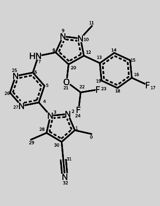 Cc1nn(-c2cc(Nc3nn(C)c(-c4ccc(F)cc4)c3OC(F)F)ncn2)c(C)c1C#N